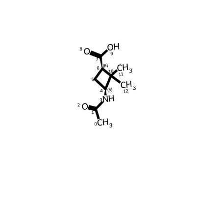 CC(=O)N[C@H]1C[C@@H](C(=O)O)C1(C)C